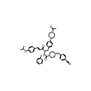 CC(=O)N1CCN(c2ccc(CN(C(=O)/C=C/c3ccc(OC(C)C)cc3)[C@@H](Cc3ccccc3)C(=O)N3CCN(Cc4ccc(C#N)cc4)CC3)cc2)CC1